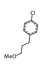 COCC[CH]c1ccc(Cl)cc1